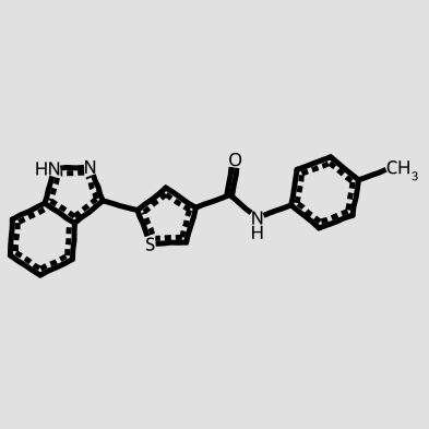 Cc1ccc(NC(=O)c2csc(-c3n[nH]c4ccccc34)c2)cc1